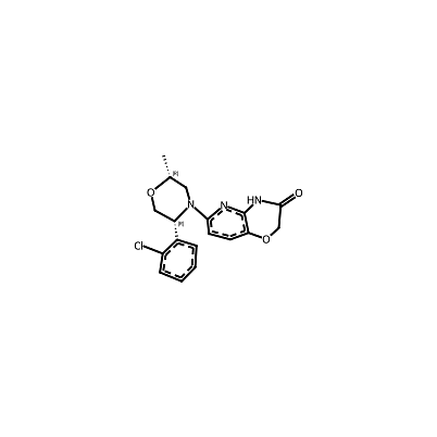 C[C@@H]1CN(c2ccc3c(n2)NC(=O)CO3)[C@H](c2ccccc2Cl)CO1